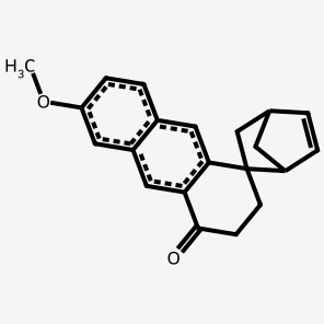 COc1ccc2cc3c(cc2c1)C(=O)CCC31CC2C=CC1C2